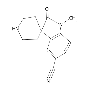 CN1C(=O)C2(CCNCC2)c2cc(C#N)ccc21